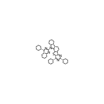 c1ccc(-c2nc(-c3ccccc3)c3sc4c(ccc5c6ccccc6n(-c6nc(-c7ccccc7)c7ccccc7n6)c54)c3n2)cc1